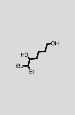 CCC(C)C(CC)C(O)CCCCO